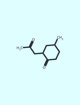 CC(=O)CC1CC(C)CCC1=O